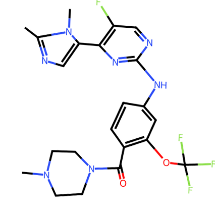 Cc1ncc(-c2nc(Nc3ccc(C(=O)N4CCN(C)CC4)c(OC(F)(F)F)c3)ncc2F)n1C